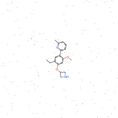 CCc1cc(-c2cccc(C)n2)c(OC)cc1OC1CNC1